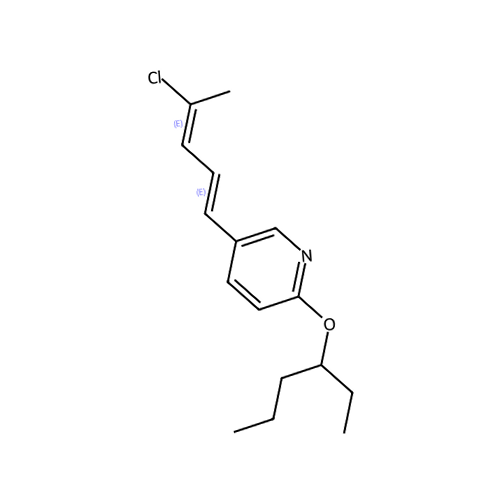 CCCC(CC)Oc1ccc(/C=C/C=C(\C)Cl)cn1